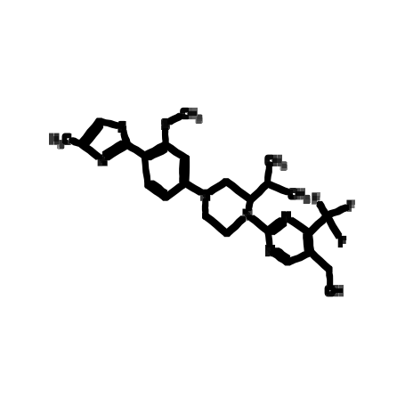 CSc1cc(N2CCN(c3ncc(CO)c(C(F)(F)F)n3)C(C(C)C)C2)ccc1-c1nc(C)cs1